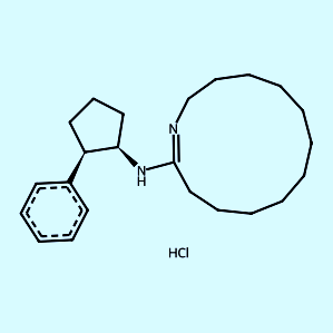 Cl.c1ccc([C@H]2CCC[C@H]2NC2=NCCCCCCCCCCC2)cc1